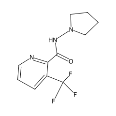 O=C(NN1CCCC1)c1ncccc1C(F)(F)F